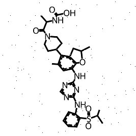 Cc1cc(Nc2ncnc(Nc3ccccc3S(=O)(=O)C(C)C)n2)c2c(c1C1CCN(C(=O)C(C)NC(=O)O)CC1)CC(C)O2